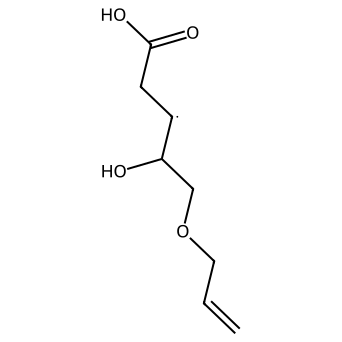 C=CCOCC(O)[CH]CC(=O)O